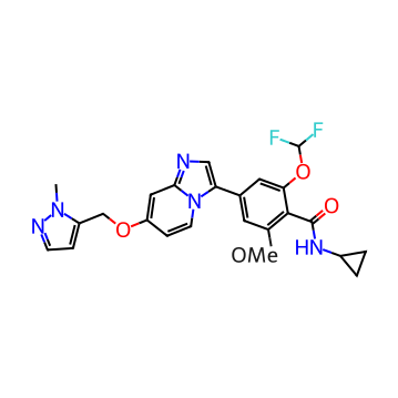 COc1cc(-c2cnc3cc(OCc4ccnn4C)ccn23)cc(OC(F)F)c1C(=O)NC1CC1